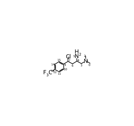 CN(C)CC(N)CC(Cl)c1ccc(C(F)(F)F)cc1